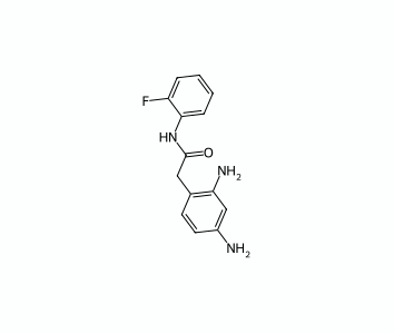 Nc1ccc(CC(=O)Nc2ccccc2F)c(N)c1